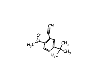 C#Cc1cc(C(C)(C)C)ccc1[S+](C)[O-]